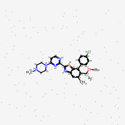 CC(=O)[C@@H](OC(C)(C)C)c1c(C)cc2nc(-c3nccc(N4CCN(C)CC4)n3)sc2c1-c1ccc(Cl)cc1